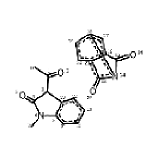 CC(=O)C1C(=O)N(C)c2ccccc21.O=C1c2cc3ccc2c(=O)n31